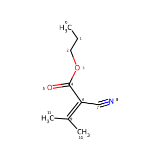 CCCOC(=O)C(C#N)=C(C)C